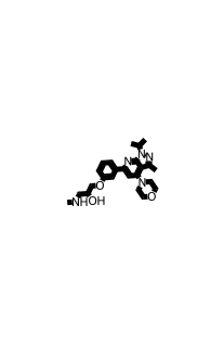 CNCC(O)COc1cccc(-c2cc(N3CCOCC3)c3c(C)nn(C(C)C)c3n2)c1